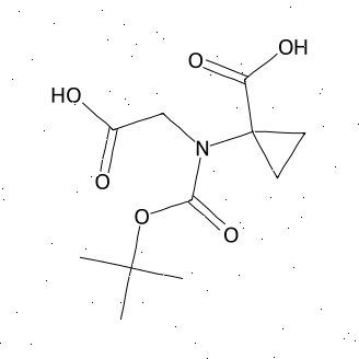 CC(C)(C)OC(=O)N(CC(=O)O)C1(C(=O)O)CC1